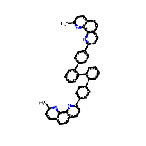 Cc1ccc2ccc3ccc(-c4ccc(-c5ccccc5-c5ccccc5-c5ccc(-c6ccc7ccc8ccc(C)nc8c7n6)cc5)cc4)nc3c2n1